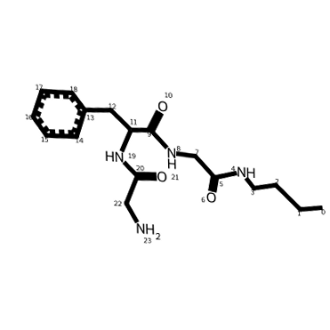 CCCCNC(=O)CNC(=O)C(Cc1ccccc1)NC(=O)CN